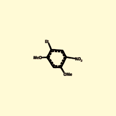 CCc1cc([N+](=O)[O-])c(OC)cc1OC